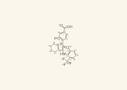 O=C(O)c1ccc(-n2nc(Nc3c(Cl)cccc3C(F)(F)F)c3c2CCCC3)c(F)c1